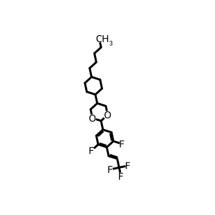 CCCCCC1CCC(C2COC(c3cc(F)c(/C=C/C(F)(F)F)c(F)c3)OC2)CC1